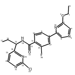 CCOc1cncc(-c2ccc(C(=O)NC(CC)c3ccnc(Cl)n3)c(F)c2)n1